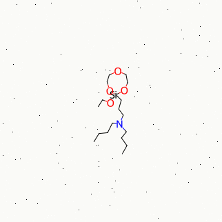 CCCCN(CCCC)CCC[Si]1(OCC)OCCOCCO1